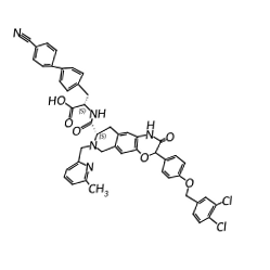 Cc1cccc(CN2Cc3cc4c(cc3C[C@H]2C(=O)N[C@@H](Cc2ccc(-c3ccc(C#N)cc3)cc2)C(=O)O)NC(=O)C(c2ccc(OCc3ccc(Cl)c(Cl)c3)cc2)O4)n1